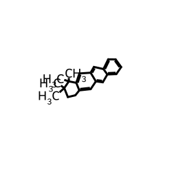 CC1(C)CCc2cc3cc4ccccc4cc3cc2C1(C)C